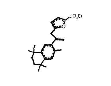 C=C(Cc1ccc(C(=O)OCC)o1)c1cc2c(cc1C)C(C)(C)CCC2(C)C